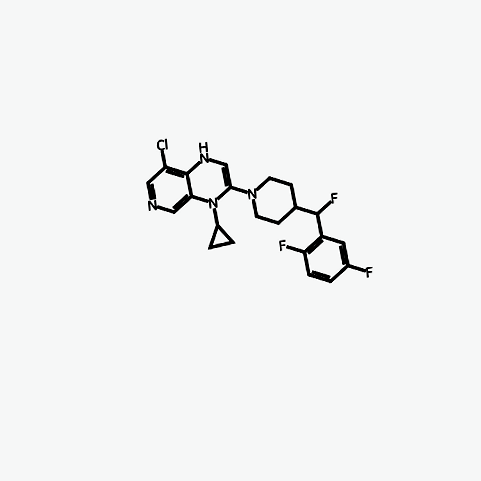 Fc1ccc(F)c(C(F)C2CCN(C3=CNc4c(Cl)cncc4N3C3CC3)CC2)c1